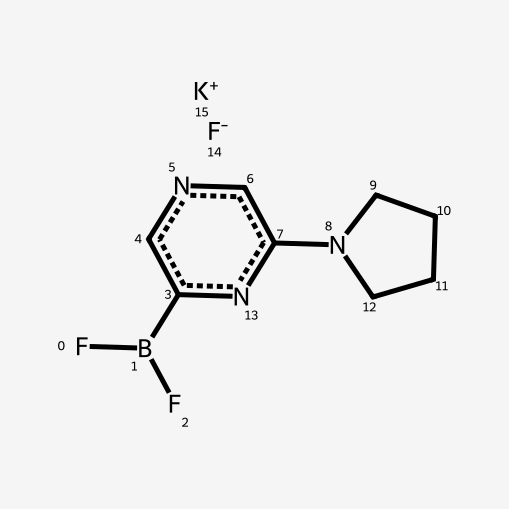 FB(F)c1cncc(N2CCCC2)n1.[F-].[K+]